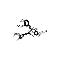 COc1cc(/C=C/C(=O)O[C@H]2C[C@@](O)(C(=O)O)CC(O)[C@@H]2OC(=O)/C=C/c2ccc(O)c(OC)c2)ccc1O